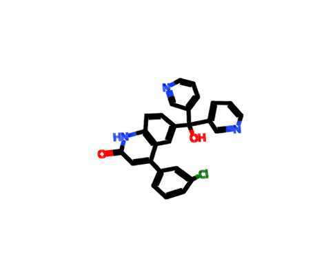 O=c1cc(-c2cccc(Cl)c2)c2cc(C(O)(c3cccnc3)c3cccnc3)ccc2[nH]1